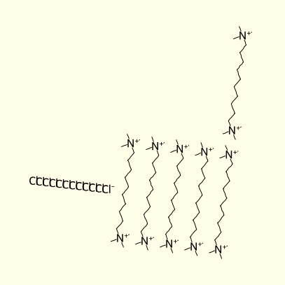 C[N+](C)(C)CCCCCCCCCC[N+](C)(C)C.C[N+](C)(C)CCCCCCCCCC[N+](C)(C)C.C[N+](C)(C)CCCCCCCCCC[N+](C)(C)C.C[N+](C)(C)CCCCCCCCCC[N+](C)(C)C.C[N+](C)(C)CCCCCCCCCC[N+](C)(C)C.C[N+](C)(C)CCCCCCCCCC[N+](C)(C)C.[Cl-].[Cl-].[Cl-].[Cl-].[Cl-].[Cl-].[Cl-].[Cl-].[Cl-].[Cl-].[Cl-].[Cl-]